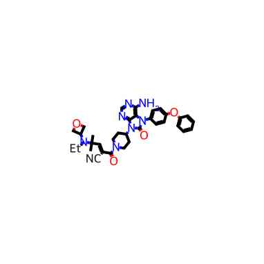 CCN(C1COC1)C(C)(C)C=C(C#N)C(=O)N1CCC(n2c(=O)n(-c3ccc(Oc4ccccc4)cc3)c3c(N)ncnc32)CC1